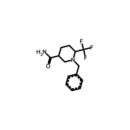 NC(=O)C1CCC(C(F)(F)F)N(Cc2ccccc2)C1